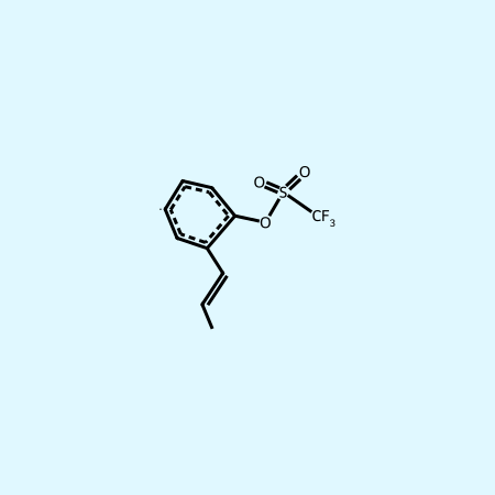 CC=Cc1c[c]ccc1OS(=O)(=O)C(F)(F)F